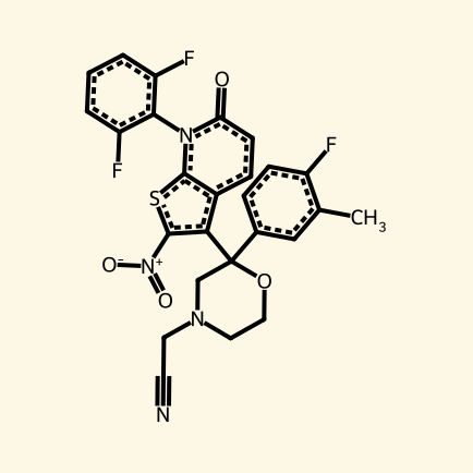 Cc1cc(C2(c3c([N+](=O)[O-])sc4c3ccc(=O)n4-c3c(F)cccc3F)CN(CC#N)CCO2)ccc1F